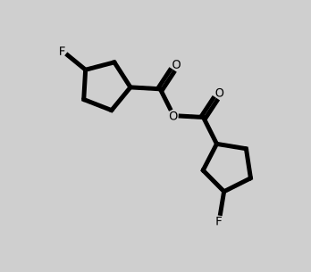 O=C(OC(=O)C1CCC(F)C1)C1CCC(F)C1